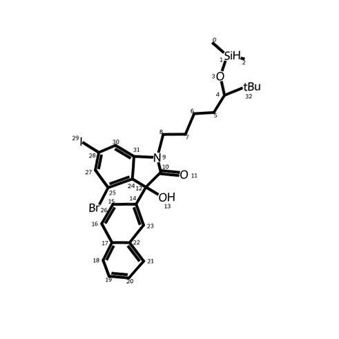 C[SiH](C)OC(CCCCN1C(=O)C(O)(c2ccc3ccccc3c2)c2c(Br)cc(I)cc21)C(C)(C)C